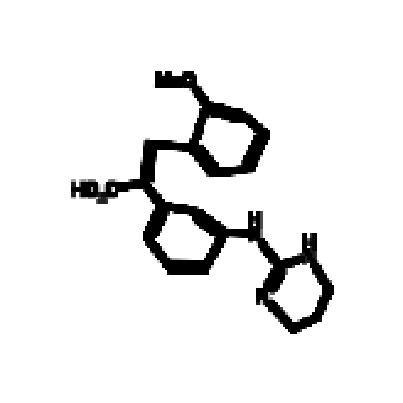 COc1ccccc1C=C(C(=O)O)c1cccc(NC2=NCCCN2)c1